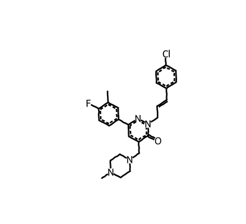 Cc1cc(-c2cc(CN3CCN(C)CC3)c(=O)n(CC=Cc3ccc(Cl)cc3)n2)ccc1F